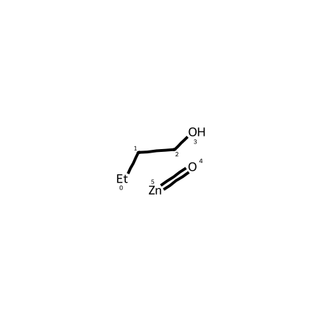 CCCCO.[O]=[Zn]